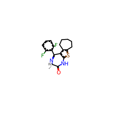 C[C@@H]1N=C(c2c(F)cccc2F)c2c(sc3c2CCCCC3)NC1=O